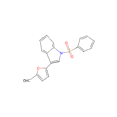 O=Cc1ccc(-c2cn(S(=O)(=O)c3ccccc3)c3ccccc23)o1